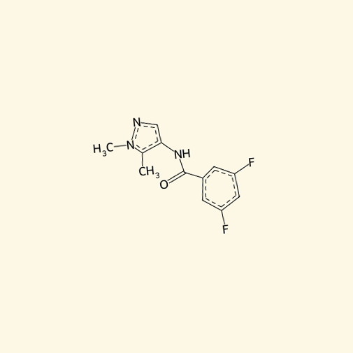 Cc1c(NC(=O)c2cc(F)cc(F)c2)cnn1C